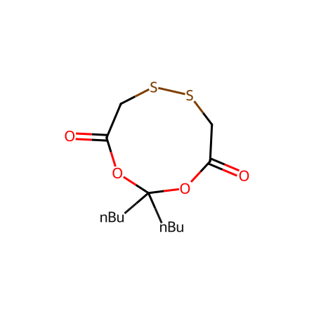 CCCCC1(CCCC)OC(=O)CSSCC(=O)O1